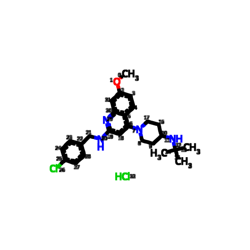 COc1ccc2c(N3CCC(NC(C)(C)C)CC3)cc(NCc3ccc(Cl)cc3)nc2c1.Cl